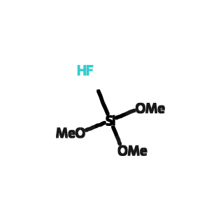 CO[Si](C)(OC)OC.F